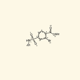 CCNS(=O)(=O)c1ccc(C(=O)OC)c(Br)c1